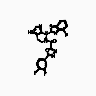 O=C(c1nnc(-c2ccc(F)c(F)c2)o1)N1CCc2[nH]cnc2[C@H]1c1nc2c(F)cccc2s1